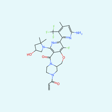 C=CC(=O)N1CCN2C(=O)c3c(N4CC(O)CC4(C)C)nc(-c4nc(N)cc(C)c4C(F)(F)F)c(F)c3OCC2C1